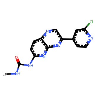 CCNC(=O)Nc1ccc2ncc(-c3ccnc(Cl)c3)nc2n1